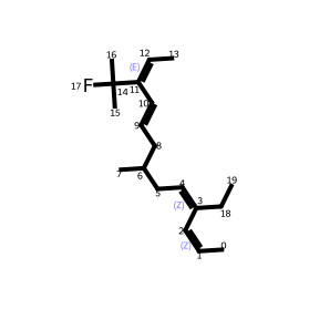 C/C=C\C(=C/CC(C)CC=C/C(=C\C)C(C)(C)F)CC